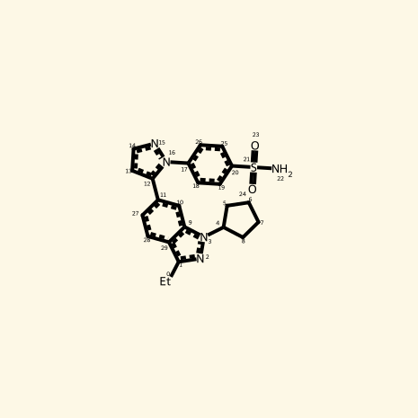 CCc1nn(C2CCCC2)c2cc(-c3ccnn3-c3ccc(S(N)(=O)=O)cc3)ccc12